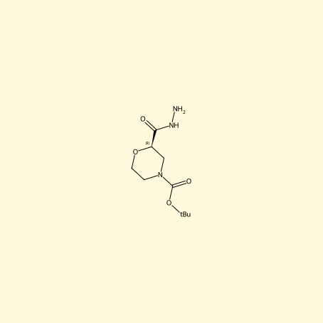 CC(C)(C)OC(=O)N1CCO[C@@H](C(=O)NN)C1